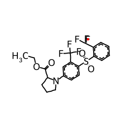 CCOC(=O)C1CCCN1c1ccc(S(=O)(=O)c2ccccc2C(F)(F)F)c(C(F)(F)F)c1